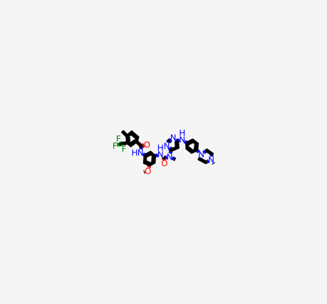 COc1cc(NC(=O)c2ccc(C)c(C(F)(F)F)c2)cc(NC(=O)N(C)c2cc(Nc3ccc(N4CCN(C)CC4)cc3)ncn2)c1